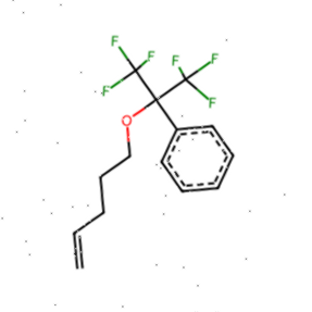 C=CCCCOC(c1ccccc1)(C(F)(F)F)C(F)(F)F